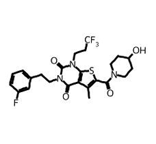 Cc1c(C(=O)N2CCC(O)CC2)sc2c1c(=O)n(CCc1cccc(F)c1)c(=O)n2CCC(F)(F)F